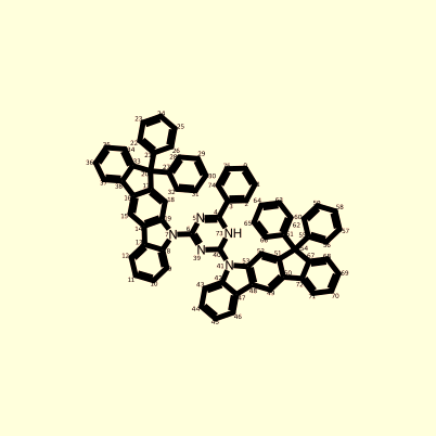 c1ccc(C2=NC(n3c4ccccc4c4cc5c(cc43)C(c3ccccc3)(c3ccccc3)c3ccccc3-5)=NC(n3c4ccccc4c4cc5c(cc43)C(c3ccccc3)(c3ccccc3)c3ccccc3-5)N2)cc1